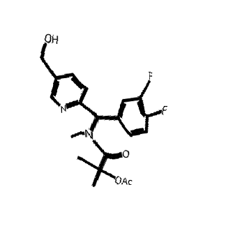 CC(=O)OC(C)(C)C(=O)N(C)C(c1ccc(F)c(F)c1)c1ccc(CO)cn1